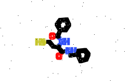 O=C(NC(CCS)C(=O)NCc1ccccc1)c1ccccc1